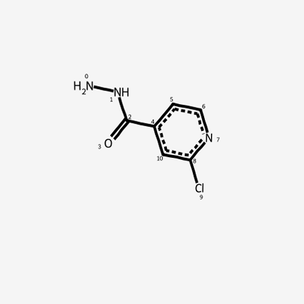 NNC(=O)c1ccnc(Cl)c1